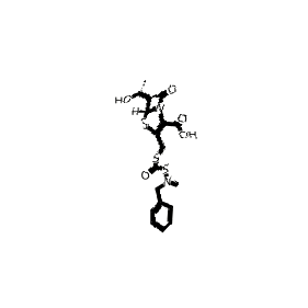 C[C@@H](O)[C@H]1C(=O)N2C(C(=O)O)C(CSC(=O)SN(C)Cc3ccccc3)S[C@H]12